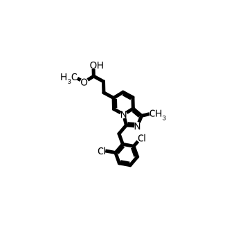 COC(O)CCc1ccc2c(C)nc(Cc3c(Cl)cccc3Cl)n2c1